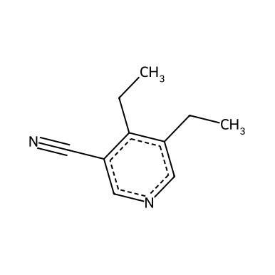 CCc1cncc(C#N)c1CC